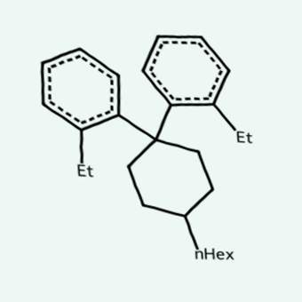 CCCCCCC1CCC(c2ccccc2CC)(c2ccccc2CC)CC1